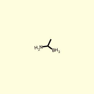 BC(C)N